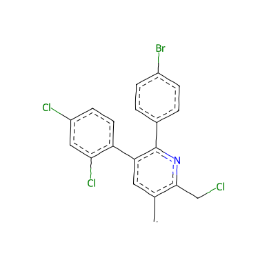 [CH2]c1cc(-c2ccc(Cl)cc2Cl)c(-c2ccc(Br)cc2)nc1CCl